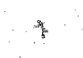 COP(=O)(C[C@@H](CC(C)C)C(=O)OCc1ccccc1)CN1C(=O)c2ccccc2C1=O